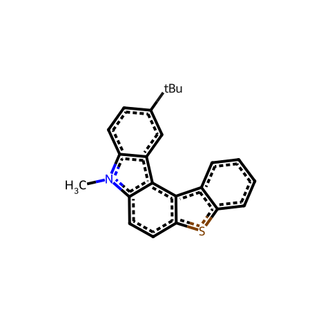 Cn1c2ccc(C(C)(C)C)cc2c2c3c(ccc21)sc1ccccc13